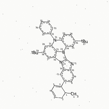 CC1CC=CC=C1c1ccc2nc3n(c2c1)-c1cc(C(C)(C)C)cc2c1B3c1cc(C(C)(C)C)ccc1N2c1ccccc1